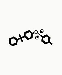 Cc1ccc(S(=O)(=O)Oc2ccc(C(C)(C)c3ccccc3)cc2)cc1